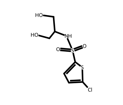 O=S(=O)(NC(CO)CO)c1ccc(Cl)s1